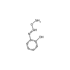 Oc1ccccc1N=[SiH]O[SiH3]